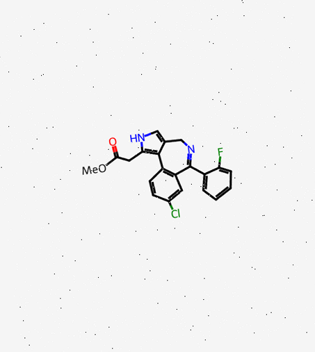 COC(=O)Cc1[nH]cc2c1-c1ccc(Cl)cc1C(c1ccccc1F)=NC2